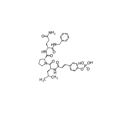 CC(C)C[C@H](NC(=O)/C=C/c1ccc(OP(=O)(O)O)cc1)C(=O)N1CCC[C@H]1C(=O)N[C@@H](CCC(N)=O)C(=O)NCc1ccccc1